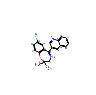 CC1(C)CN=C(c2cnc3ccccc3c2)c2cc(Cl)ccc2O1